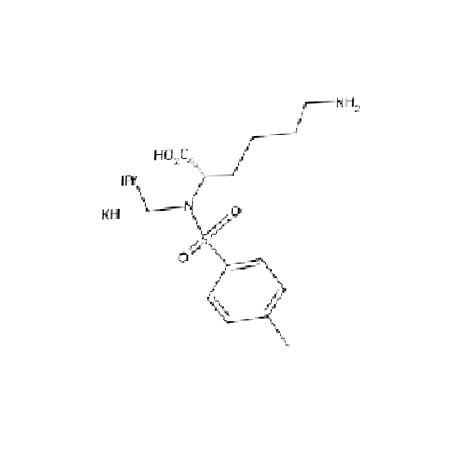 Cc1ccc(S(=O)(=O)N(CC(C)C)[C@@H](CCCCN)C(=O)O)cc1.[KH]